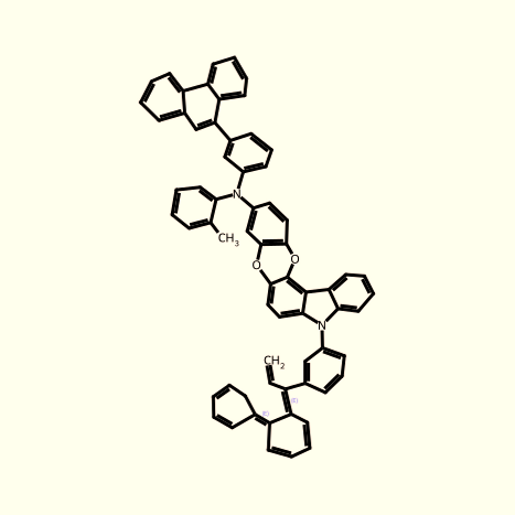 C=C/C(c1cccc(-n2c3ccccc3c3c4c(ccc32)Oc2cc(N(c3cccc(-c5cc6ccccc6c6ccccc56)c3)c3ccccc3C)ccc2O4)c1)=c1/cccc/c1=C1\C=CC=CC1